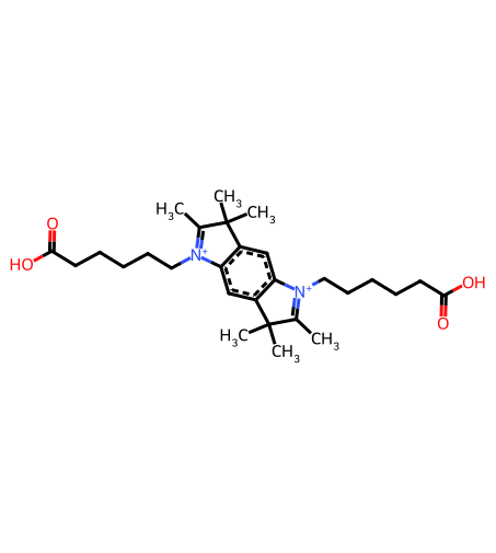 CC1=[N+](CCCCCC(=O)O)c2cc3c(cc2C1(C)C)[N+](CCCCCC(=O)O)=C(C)C3(C)C